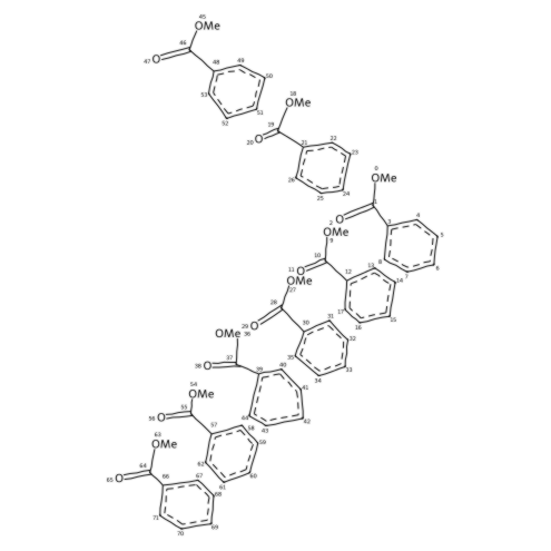 COC(=O)c1ccccc1.COC(=O)c1ccccc1.COC(=O)c1ccccc1.COC(=O)c1ccccc1.COC(=O)c1ccccc1.COC(=O)c1ccccc1.COC(=O)c1ccccc1.COC(=O)c1ccccc1